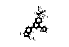 Cc1c[nH]c2ncc(-c3cc4c(c(C5CCCN5)c3)CCN(C(=O)C(C)(C)O)C4)cc12